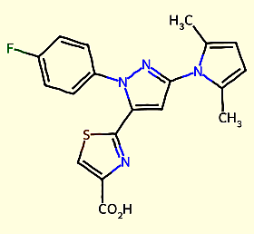 Cc1ccc(C)n1-c1cc(-c2nc(C(=O)O)cs2)n(-c2ccc(F)cc2)n1